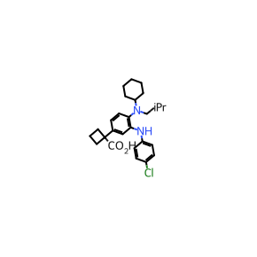 CC(C)CN(c1ccc(C2(C(=O)O)CCC2)cc1Nc1ccc(Cl)cc1)C1CCCCC1